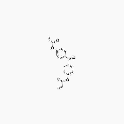 C=CC(=O)Oc1ccc(C(=O)c2ccc(OC(=O)C=C)cc2)cc1